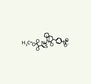 CCOC(=O)C(=O)c1csc(NC(=O)C(CC2CCCC2)c2ccc([N+](=O)[O-])cc2)n1